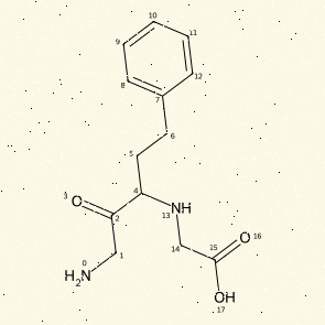 NCC(=O)C(CCc1ccccc1)NCC(=O)O